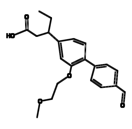 CCC(CC(=O)O)c1ccc(-c2ccc(C=O)cc2)c(OCCOC)c1